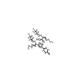 CCCON=C(CO[Si](C)(C)C(C)(C)C)C(=O)O.CCCON=C(CO[Si](C)(C)C(C)(C)C)c1nc(-c2ccc(F)cc2)no1